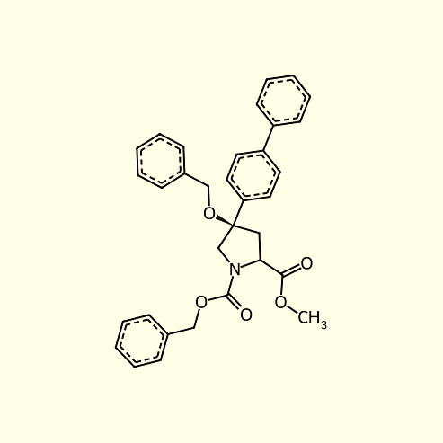 COC(=O)C1C[C@@](OCc2ccccc2)(c2ccc(-c3ccccc3)cc2)CN1C(=O)OCc1ccccc1